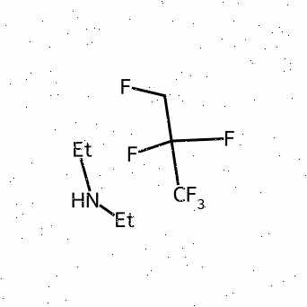 CCNCC.FCC(F)(F)C(F)(F)F